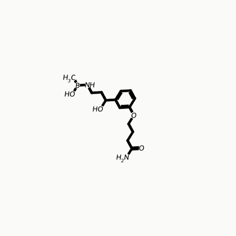 CB(O)NCCC(O)c1cccc(OCCCC(N)=O)c1